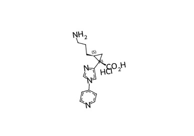 Cl.NCCC[C@H]1C[C@]1(C(=O)O)c1cn(-c2ccncc2)cn1